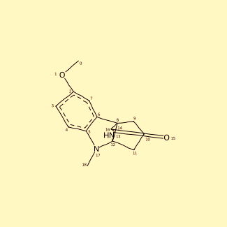 COc1ccc2c(c1)C13CCCC1(NC(=O)C3)N2C